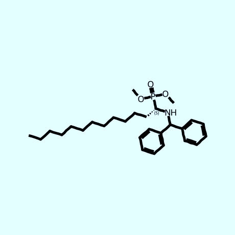 CCCCCCCCCCCC[C@@H](NC(c1ccccc1)c1ccccc1)P(=O)(OC)OC